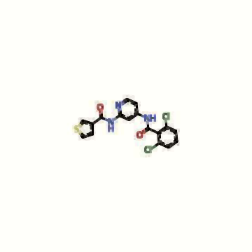 O=C(Nc1cc(NC(=O)c2c(Cl)cccc2Cl)ccn1)c1ccsc1